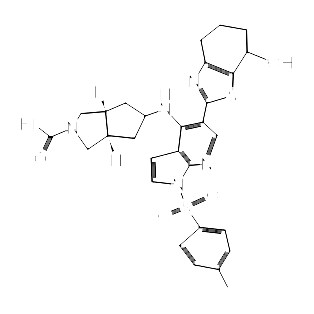 CCC(=O)N1C[C@H]2CC(Nc3c(-c4nc5c(s4)C(O)CCC5)cnc4c3ccn4S(=O)(=O)c3ccc(C)cc3)C[C@H]2C1